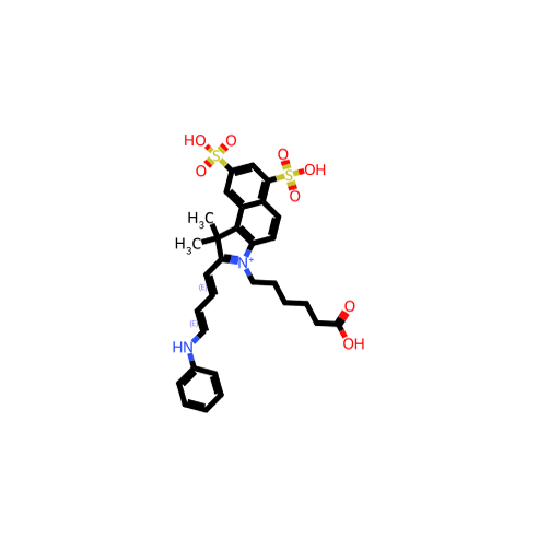 CC1(C)C(/C=C/C=C/Nc2ccccc2)=[N+](CCCCCC(=O)O)c2ccc3c(S(=O)(=O)O)cc(S(=O)(=O)O)cc3c21